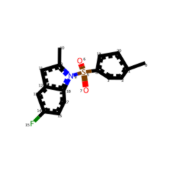 Cc1ccc(S(=O)(=O)n2c(C)cc3cc(F)ccc32)cc1